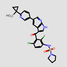 O=C(c1c(F)ccc(NS(=O)(=O)N2CCCC2)c1F)c1c[nH]c2ncc(-c3ccc(C4(C(=O)O)CC4)nc3)cc12